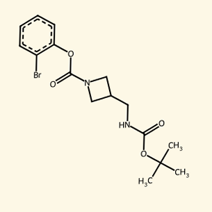 CC(C)(C)OC(=O)NCC1CN(C(=O)Oc2ccccc2Br)C1